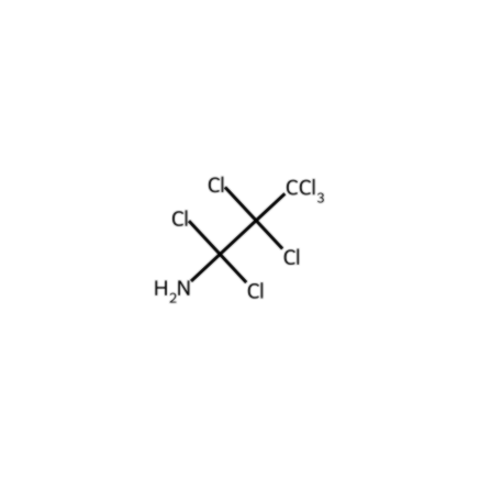 NC(Cl)(Cl)C(Cl)(Cl)C(Cl)(Cl)Cl